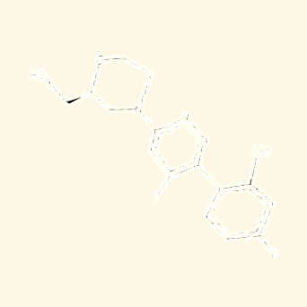 Cc1cc(N2CCO[C@H](CO)C2)nnc1-c1ccc(F)cc1O